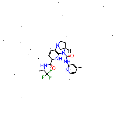 Cc1ccnc(NC(=O)N2C3=C(C=CC(C(=O)N[C@H](C)C(F)(F)F)N3)N3CC[C@H]2C3)c1